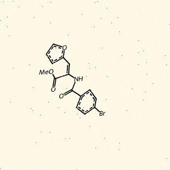 COC(=O)C(=Cc1ccco1)NC(=O)c1ccc(Br)cc1